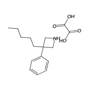 CCCCCC1(c2ccccc2)CNC1.O=C(O)C(=O)O